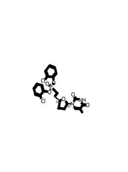 Cc1cn([C@H]2CC[C@@H](CCP(=O)(Oc3ccccc3Cl)Oc3ccccc3Cl)O2)c(=O)[nH]c1=O